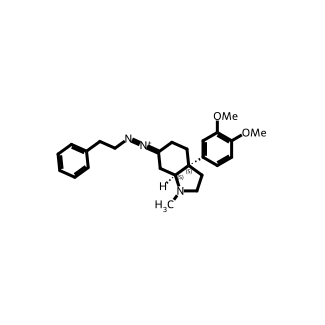 COc1ccc([C@@]23CCC(=[N+]=NCCc4ccccc4)C[C@@H]2N(C)CC3)cc1OC